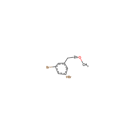 Br.C[O][Zn][CH2]c1cccc(Br)c1